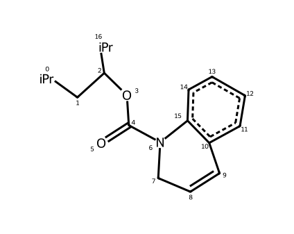 CC(C)CC(OC(=O)N1CC=Cc2ccccc21)C(C)C